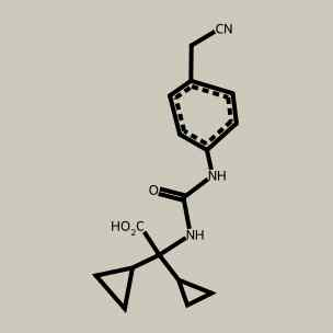 N#CCc1ccc(NC(=O)NC(C(=O)O)(C2CC2)C2CC2)cc1